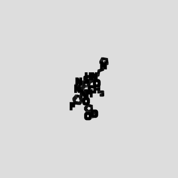 Cc1c(C(=O)NCCCN2CCCC2)sc2ncnc(Nc3ccc(F)cc3OC3CC4OCOC4C3)c12